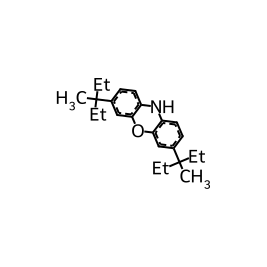 CCC(C)(CC)c1ccc2c(c1)Oc1cc(C(C)(CC)CC)ccc1N2